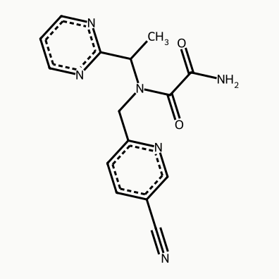 CC(c1ncccn1)N(Cc1ccc(C#N)cn1)C(=O)C(N)=O